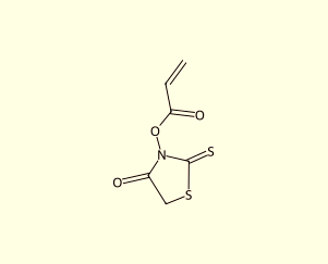 C=CC(=O)ON1C(=O)CSC1=S